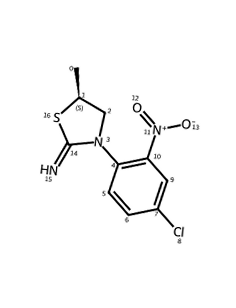 C[C@H]1CN(c2ccc(Cl)cc2[N+](=O)[O-])C(=N)S1